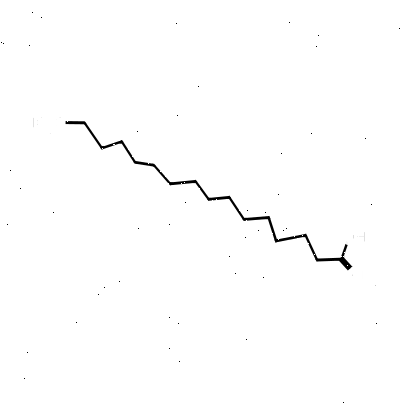 C=C(O)CCCCCCCCCCCCCCC(=O)O